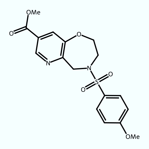 COC(=O)c1cnc2c(c1)OCCN(S(=O)(=O)c1ccc(OC)cc1)C2